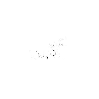 CC(=O)OCC(CNC(=O)c1cc(C(=O)N(C)CC(COC(C)=O)OC(C)=O)cc([N+](=O)[O-])c1)OC(C)=O